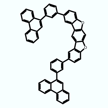 c1cc(-c2ccc3oc4cc5oc6ccc(-c7cccc(-c8cc9ccccc9c9ccccc89)c7)cc6c5cc4c3c2)cc(-c2cc3ccccc3c3ccccc23)c1